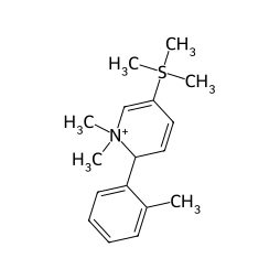 Cc1ccccc1C1C=CC(S(C)(C)C)=C[N+]1(C)C